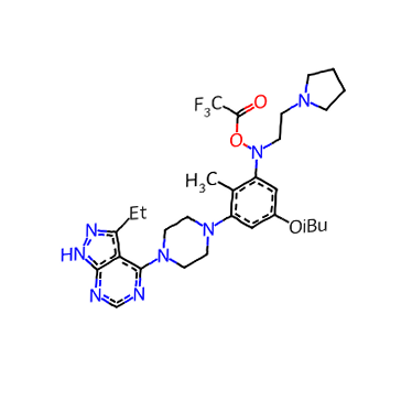 CCc1n[nH]c2ncnc(N3CCN(c4cc(OCC(C)C)cc(N(CCN5CCCC5)OC(=O)C(F)(F)F)c4C)CC3)c12